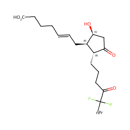 CCCC(F)(F)C(=O)CCC[C@H]1C(=O)C[C@H](O)[C@@H]1CC=CCCCC(=O)O